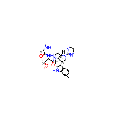 CN[C@@H](C)C(=O)N[C@H](C(=O)N1CC[C@@H]2[C@H]1[C@@H](c1c[nH]c3cc(C)ccc13)CN2c1ncccn1)[C@@H](C)OC